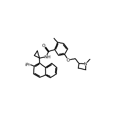 Cc1ccc(OCC2CCN2C)cc1C(=O)NC1(c2c(C(C)C)ccc3ccccc23)CC1